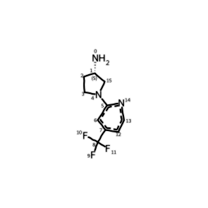 N[C@H]1CCN(c2cc(C(F)(F)F)ccn2)C1